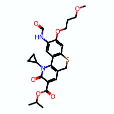 COCCCOc1cc2c(cc1NC=O)-c1c(cc(C(=O)OC(C)C)c(=O)n1C1CC1)CS2